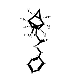 O=C(N[C@@H]1[C@@H]2C=C[C@@H]([C@H]3C[C@@H]23)[C@@H]1C(=O)O)OCc1ccccc1